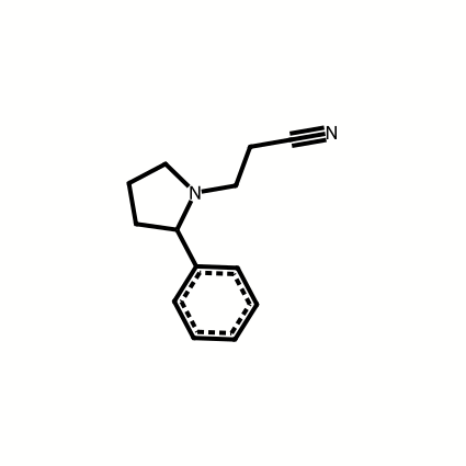 N#CCCN1CCCC1c1ccccc1